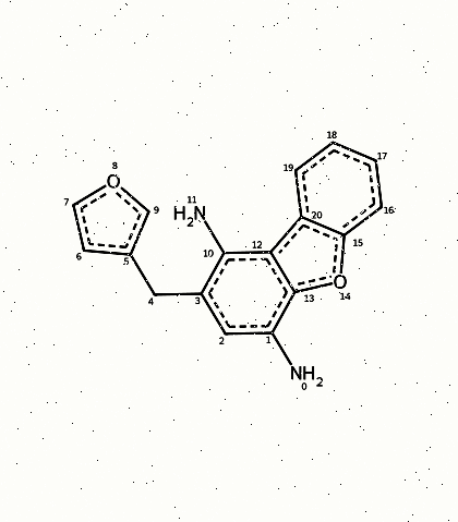 Nc1cc(Cc2ccoc2)c(N)c2c1oc1ccccc12